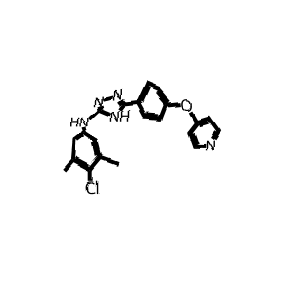 Cc1cc(Nc2nnc(-c3ccc(Oc4ccncc4)cc3)[nH]2)cc(C)c1Cl